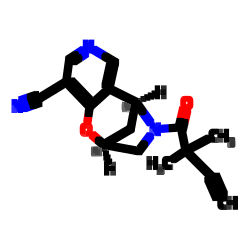 C#CC(C)(C)C(=O)N1C[C@@H]2C[C@H]1c1cncc(C#N)c1O2